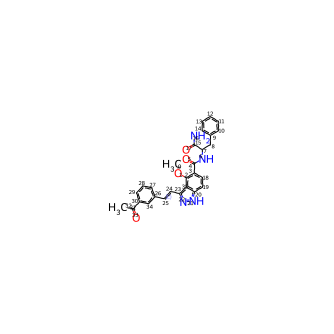 COc1c(C(=O)NC(Cc2ccccc2)C(N)=O)ccc2[nH]nc(/C=C/c3cccc(C(C)=O)c3)c12